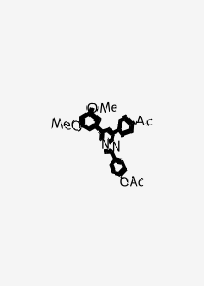 COc1cc(OC)cc(-c2cc(-c3ccc(C(C)=O)cc3)c3nc(-c4ccc(OC(C)=O)cc4)cn3c2)c1